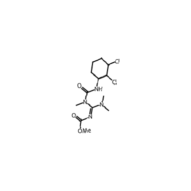 COC(=O)/N=C(/N(C)C)N(C)C(=O)NC1CCCC(Cl)C1Cl